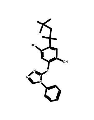 CC(C)(C)CC(C)(C)c1cc(O)c(Sc2nncn2-c2ccccc2)cc1O